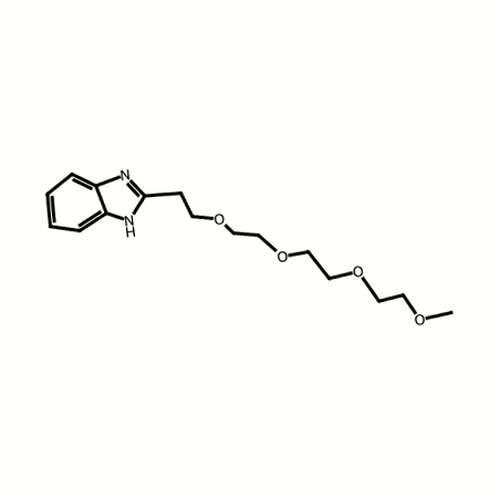 COCCOCCOCCOCCc1nc2ccccc2[nH]1